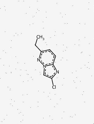 CCc1ccc2nc(Cl)cn2n1